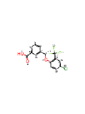 O=C(O)c1cccc(COc2ccc(Cl)cc2C(F)(F)F)c1